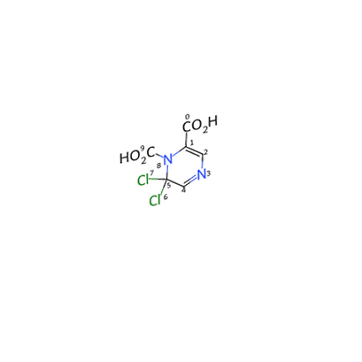 O=C(O)C1=CN=CC(Cl)(Cl)N1C(=O)O